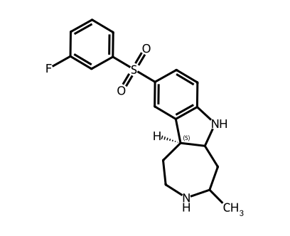 CC1CC2Nc3ccc(S(=O)(=O)c4cccc(F)c4)cc3[C@@H]2CCN1